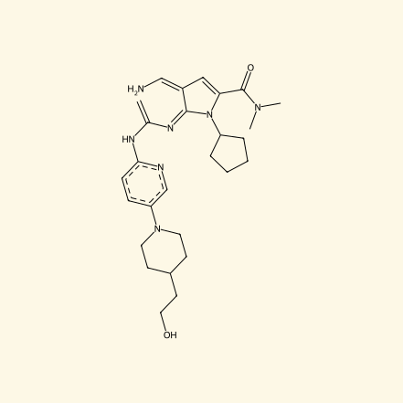 C=C(/N=C1\C(=C/N)C=C(C(=O)N(C)C)N1C1CCCC1)Nc1ccc(N2CCC(CCO)CC2)cn1